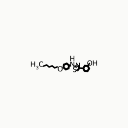 CCCCCCCOc1ccc(Nc2nc(-c3cccc(O)c3)cs2)cc1